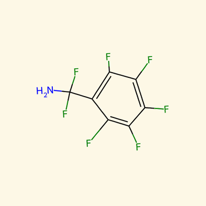 NC(F)(F)c1c(F)c(F)c(F)c(F)c1F